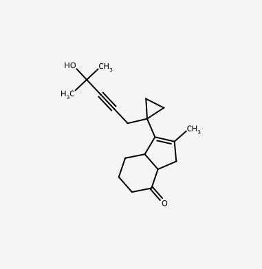 CC1=C(C2(CC#CC(C)(C)O)CC2)C2CCCC(=O)C2C1